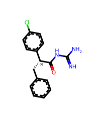 N=C(N)NC(=O)[C@H](Cc1ccccc1)c1ccc(Cl)cc1